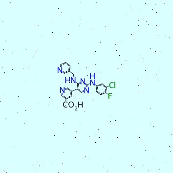 O=C(O)c1cncc(-c2cnc(Nc3ccc(F)c(Cl)c3)nc2NCc2cccnc2)c1